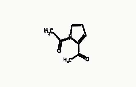 CC(=O)c1cccn1C(C)=O